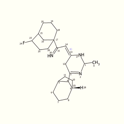 CC1N=C(C2C3CCC[C@H]2CC3)C/C(=C\C(=N)C23CCCC(C2)C(F)CC3)N1